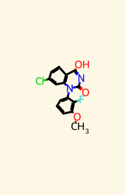 COc1cccc(-n2c(=O)nc(O)c3ccc(Cl)cc32)c1F